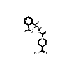 C[S+]([O-])c1ccccc1S(=O)(=O)NOC(=O)N1CCC(C(N)=O)CC1